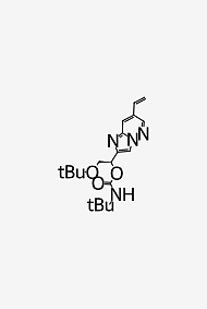 C=Cc1cnn2cc([C@H](COC(C)(C)C)OC(=O)NC(C)(C)C)nc2c1